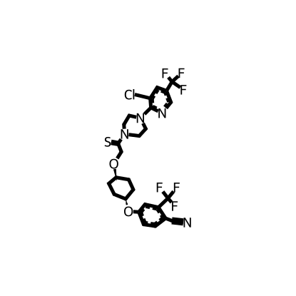 N#Cc1ccc(O[C@H]2CC[C@H](OCC(=S)N3CCN(c4ncc(C(F)(F)F)cc4Cl)CC3)CC2)cc1C(F)(F)F